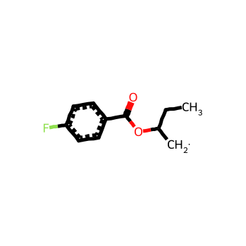 [CH2]C(CC)OC(=O)c1ccc(F)cc1